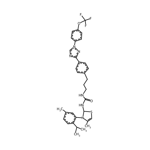 CC1=CSC(NC(=O)NCCCc2ccc(-c3ncn(-c4ccc(OC(F)(F)F)cc4)n3)cc2)N1c1cc(C)ccc1C(C)C